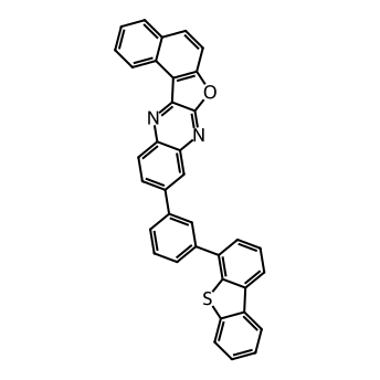 c1cc(-c2ccc3nc4c(nc3c2)oc2ccc3ccccc3c24)cc(-c2cccc3c2sc2ccccc23)c1